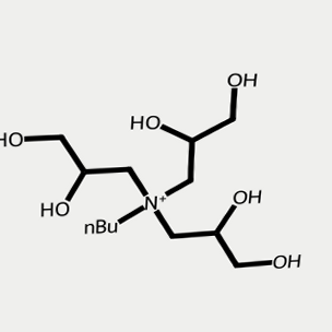 CCCC[N+](CC(O)CO)(CC(O)CO)CC(O)CO